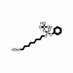 CCCCCCCCCCCCCCCCCCOP(=O)(Oc1ccccc1)OP(=O)(O)O